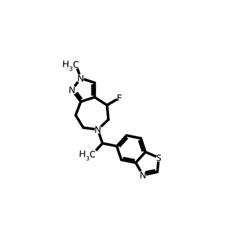 CC(c1ccc2scnc2c1)N1CCc2nn(C)cc2C(F)C1